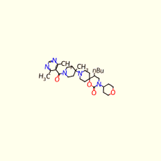 CCCCC1CN(C2CCOCC2)C(=O)OC12CCN(C1(C)CCN(C(=O)c3c(C)ncnc3C)CC1)CC2